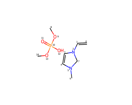 C=CN1C=CN(C)C1.COP(=O)(O)OC